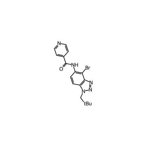 CC(C)(C)Cn1nnc2c(Br)c(NC(=O)c3ccncc3)ccc21